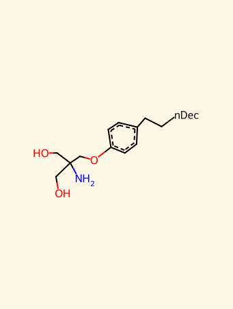 CCCCCCCCCCCCc1ccc(OCC(N)(CO)CO)cc1